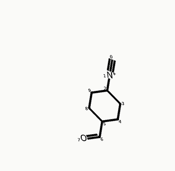 C#[N+]C1CCC(C=O)CC1